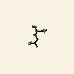 CC(Cl)COP(O)O